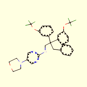 FC(F)(F)Oc1cccc(C(CNc2ncc(N3CCOCC3)cn2)(Cc2ccccc2)c2cccc(OC(F)(F)F)c2)c1